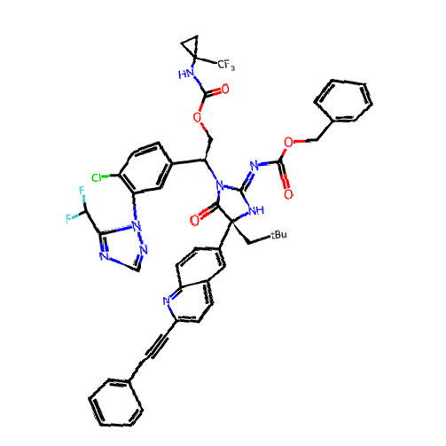 CC(C)(C)C[C@]1(c2ccc3nc(C#Cc4ccccc4)ccc3c2)N/C(=N\C(=O)OCc2ccccc2)N([C@H](COC(=O)NC2(C(F)(F)F)CC2)c2ccc(Cl)c(-n3ncnc3C(F)F)c2)C1=O